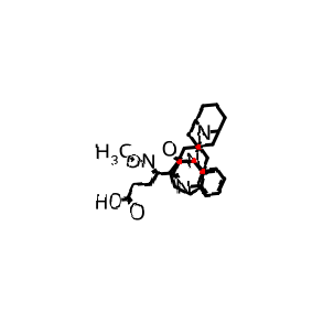 CO/N=C(\CCC(=O)O)c1nc2ccccc2n(C2CC3CCCC(C2)N3C2CC3CCCCC(C3)C2)c1=O